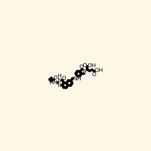 CC(C)(C)C(=O)Nc1nc2ccc3ccc(CNc4ccc5c(c4)CN(C(CCC(=O)O)C(=O)O)C5=O)cc3c2c(=O)[nH]1